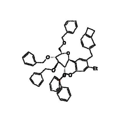 CCc1cc(OCc2ccccc2)c([C@@H]2O[C@H](COCc3ccccc3)[C@@H](OCc3ccccc3)[C@H](OCc3ccccc3)[C@H]2OCc2ccccc2)cc1Cc1ccc2c(c1)CC2